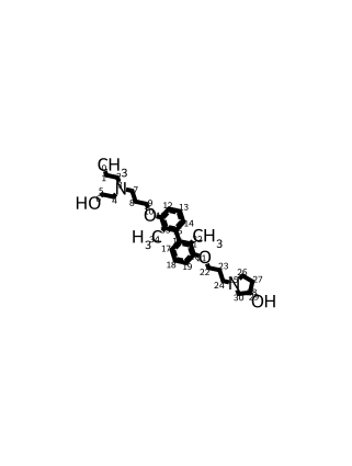 CCCN(CCO)CCCOc1cccc(-c2cccc(OCCCN3CC[C@@H](O)C3)c2C)c1C